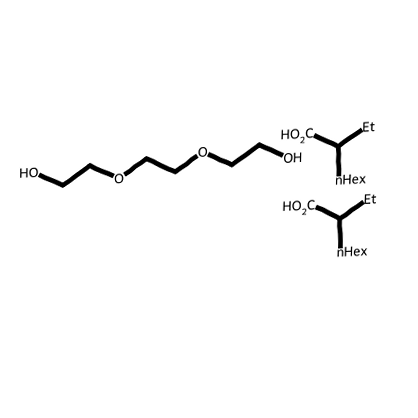 CCCCCCC(CC)C(=O)O.CCCCCCC(CC)C(=O)O.OCCOCCOCCO